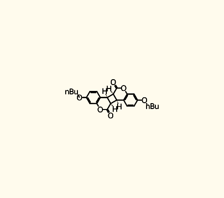 CCCCOc1ccc2c(c1)OC(=O)[C@H]1[C@@H]2[C@H]2C(=O)Oc3cc(OCCCC)ccc3[C@H]21